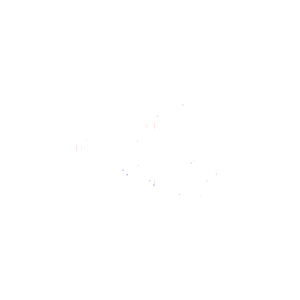 C=C(O)c1c(N(C)CCO)nc2ccc(Cl)cc2c1-c1ccccc1